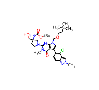 Cn1cc2c(Cl)c(-c3cn(COCC[Si](C)(C)C)c4nc(N5CCC(CO)(NC(=O)OC(C)(C)C)C5)n(C)c(=O)c34)ccc2n1